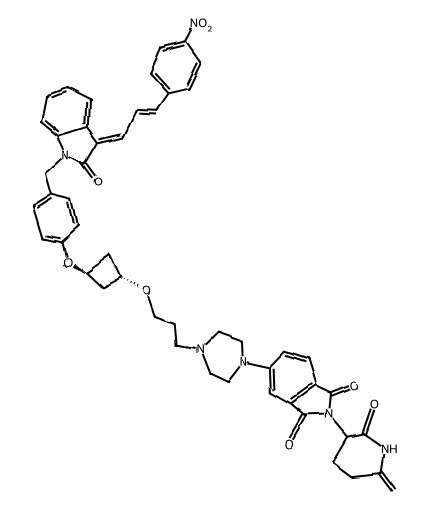 C=C1CCC(N2C(=O)c3ccc(N4CCN(CCCO[C@H]5C[C@H](Oc6ccc(CN7C(=O)/C(=C/C=C/c8ccc([N+](=O)[O-])cc8)c8ccccc87)cc6)C5)CC4)cc3C2=O)C(=O)N1